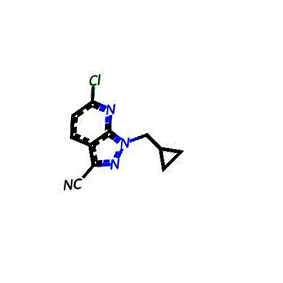 N#Cc1nn(CC2CC2)c2nc(Cl)ccc12